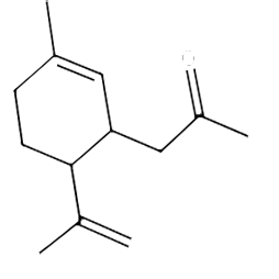 C=C(C)C1CCC(C)=CC1CC(C)=O